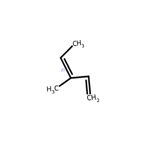 C=C/C(C)=C\C